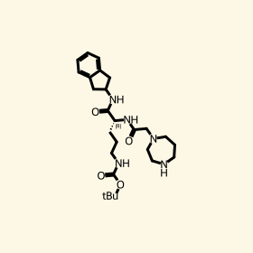 CC(C)(C)OC(=O)NCCC[C@@H](NC(=O)CN1CCCNCC1)C(=O)NC1Cc2ccccc2C1